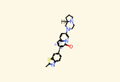 Cc1nc2ccc(C3=C\C(=O)N4C=C(N5CCN6CCC[C@H]6C5)C=C\C4=C/C=C/3)cc2s1